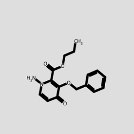 CCCOC(=O)c1c(OCc2ccccc2)c(=O)ccn1N